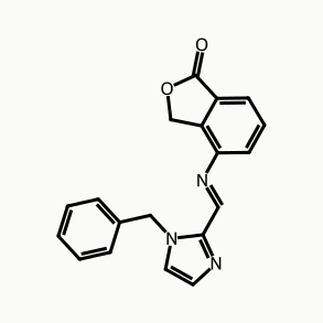 O=C1OCc2c(/N=C/c3nccn3Cc3ccccc3)cccc21